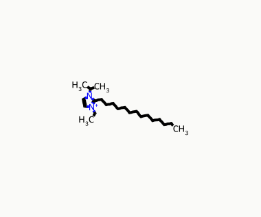 CCCCCCCCCCCCCCc1n(C(C)C)cc[n+]1CC